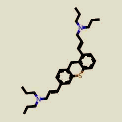 CCCN(CC=Cc1ccc2c(c1)Sc1cccc(C=CCN(CCC)CCC)c1C2)CCC